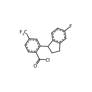 O=C(Cl)c1ccc(C(F)(F)F)cc1C1CCc2cc(F)ccc21